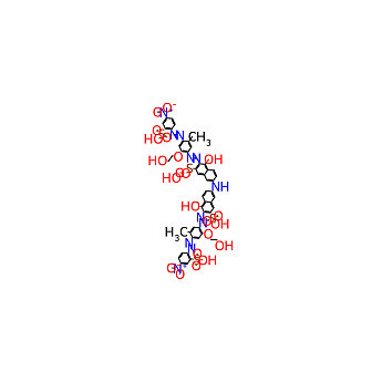 Cc1cc(/N=N/c2c(SOOO)cc3cc(Nc4ccc5c(O)c(/N=N/c6cc(C)c(/N=N/c7ccc([N+](=O)[O-])cc7S(=O)(=O)O)cc6OCCO)c(S(=O)(=O)O)cc5c4)ccc3c2O)c(OCCO)cc1/N=N/c1ccc([N+](=O)[O-])cc1S(=O)(=O)O